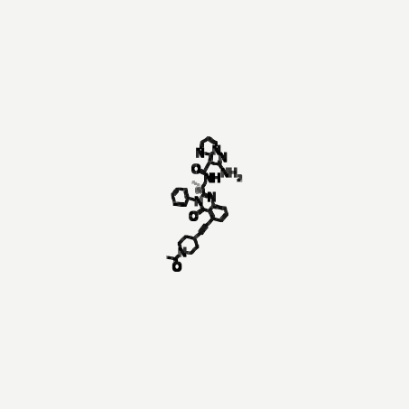 CC(=O)N1CCC(C#Cc2cccc3nc([C@H](C)NC(=O)c4c(N)nn5cccnc45)n(-c4ccccc4)c(=O)c23)CC1